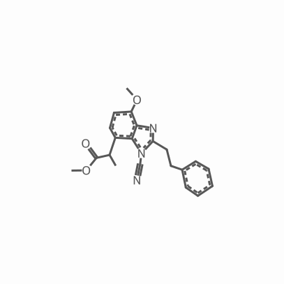 COC(=O)C(C)c1ccc(OC)c2nc(CCc3ccccc3)n(C#N)c12